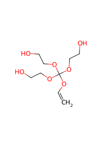 C=COC(OCCO)(OCCO)OCCO